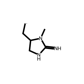 [CH2]CC1CNC(=N)N1C